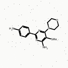 CSc1c(N)nc(-c2ccc(N)cc2)nc1N1CCOCC1